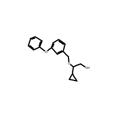 OCC(OCc1cccc(Oc2ccccc2)c1)C1CC1